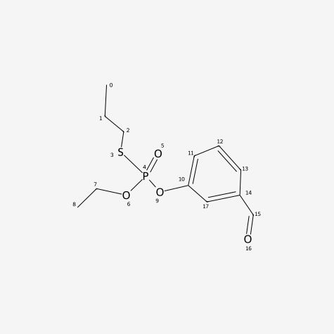 CCCSP(=O)(OCC)Oc1cccc(C=O)c1